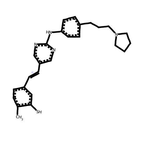 Cc1ccc(/C=C/c2cnc(Nc3ccc(CCCN4CCCC4)cc3)nc2)cc1S